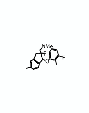 CNCC1(F)Cc2cc(C)ccc2C1Oc1cccc(F)c1C